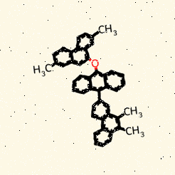 Cc1ccc2c(c1)cc(Oc1c3ccccc3c(-c3ccc4c(c3)c(C)c(C)c3ccccc34)c3ccccc13)c1cc(C)ccc12